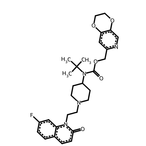 CC(C)(C)N(C(=O)OCc1cc2c(cn1)OCCO2)C1CCN(CCn2c(=O)ccc3ccc(F)cc32)CC1